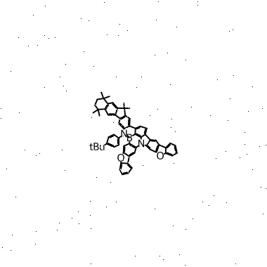 CC(C)(C)c1ccc(N2B3c4cc5oc6ccccc6c5cc4-n4c5cc6oc7ccccc7c6cc5c5ccc(c3c54)-c3cc4c(cc32)-c2cc3c(cc2C4(C)C)C(C)(C)CCC3(C)C)cc1